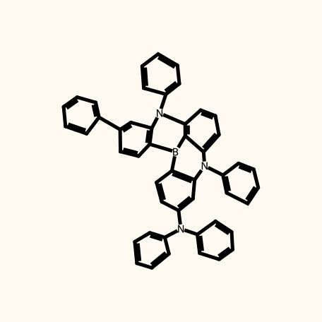 c1ccc(-c2ccc3c(c2)N(c2ccccc2)c2cccc4c2B3c2ccc(N(c3ccccc3)c3ccccc3)cc2N4c2ccccc2)cc1